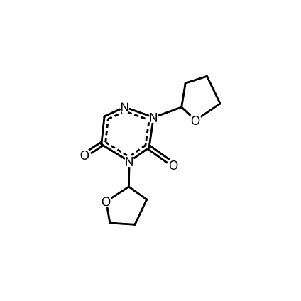 O=c1cnn(C2CCCO2)c(=O)n1C1CCCO1